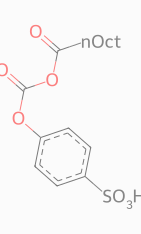 CCCCCCCCC(=O)OC(=O)Oc1ccc(S(=O)(=O)O)cc1